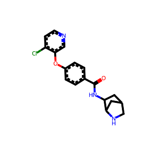 O=C(NC1CC2CNC1C2)c1ccc(Oc2cnccc2Cl)cc1